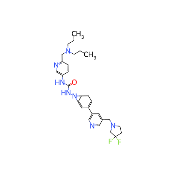 CCCN(CCC)Cc1ccc(NC(=O)NN2C3=CC(c4cncc(CN5CCC(F)(F)C5)c4)=CCC32)cn1